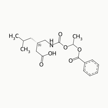 CC(C)C[C@H](CNC(=O)OC(C)OC(=O)c1ccccc1)CC(=O)O